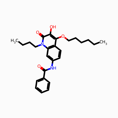 CCCCCCOc1c(O)c(=O)n(CCCC)c2cc(NC(=O)c3ccccc3)ccc12